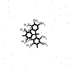 Bc1cc(C(C)(c2c(F)c(B)c(C)c(B)c2F)c2c(B)c(B)c(C)c(B)c2P)c(P)c(B)c1P